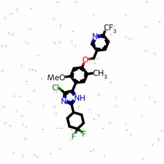 COc1cc(OCc2ccc(C(F)(F)F)nc2)c(C)cc1-c1[nH]c(C2CCC(F)(F)CC2)nc1Cl